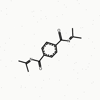 CC(C)=NC(=O)c1ccc(C(=O)N=C(C)C)cc1